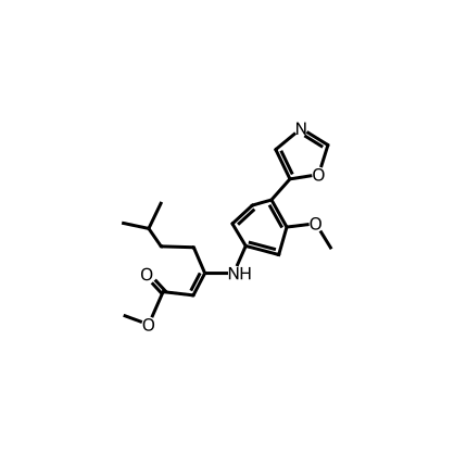 COC(=O)/C=C(\CCC(C)C)Nc1ccc(-c2cnco2)c(OC)c1